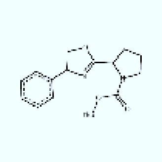 CC(C)(C)OC(=O)N1CCCC1C1=NC(c2ccccc2)CO1